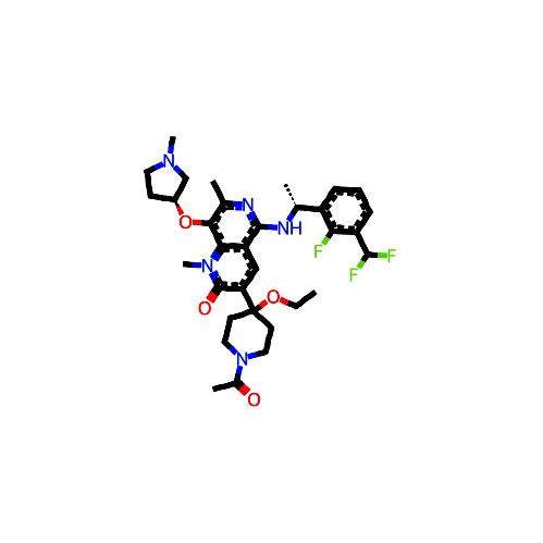 CCOC1(c2cc3c(N[C@H](C)c4cccc(C(F)F)c4F)nc(C)c(O[C@H]4CCN(C)C4)c3n(C)c2=O)CCN(C(C)=O)CC1